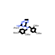 CCC[C@H](C)Nc1nc(N(Cc2ccc(OC)cc2OC)Cc2ccc(OC)cc2OC)c2nccn2n1